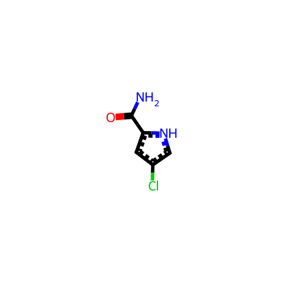 NC(=O)c1cc(Cl)c[nH]1